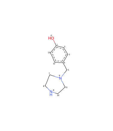 Oc1ccc(CN2CCNCC2)cc1